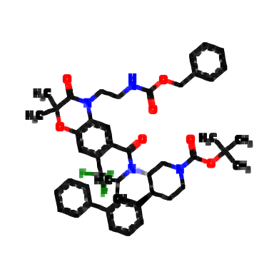 CC(C)N(C(=O)c1cc2c(cc1C(F)(F)F)OC(C)(C)C(=O)N2CCNC(=O)OCc1ccccc1)[C@@H]1CN(C(=O)OC(C)(C)C)CC[C@H]1c1cccc(-c2ccccc2)c1